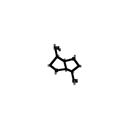 N#CC1COC2C(N)COC12